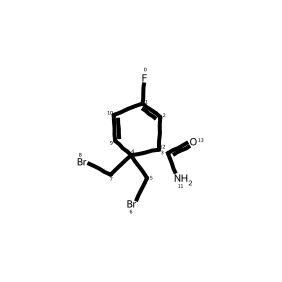 FC1=CCC(CBr)(CBr)C=C1.NC=O